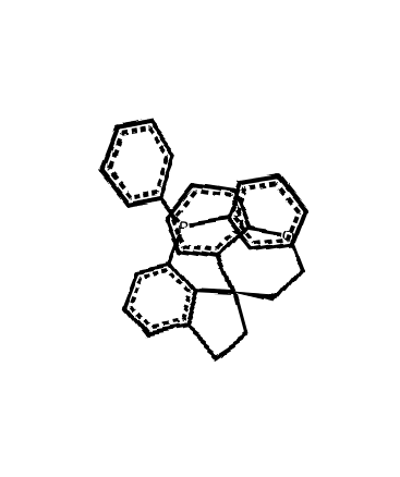 c1ccc(P(c2ccccc2)c2cccc3c2[C@@]2(CCOc4ccccc42)CC3)cc1